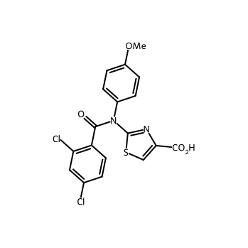 COc1ccc(N(C(=O)c2ccc(Cl)cc2Cl)c2nc(C(=O)O)cs2)cc1